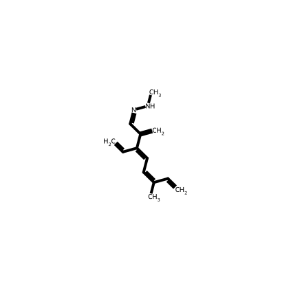 C=C/C(C)=C\C=C(/C=C)C(=C)/C=N\NC